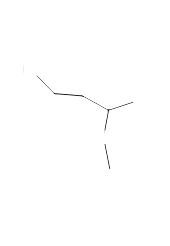 OCCC(O)OO